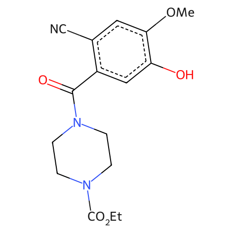 CCOC(=O)N1CCN(C(=O)c2cc(O)c(OC)cc2C#N)CC1